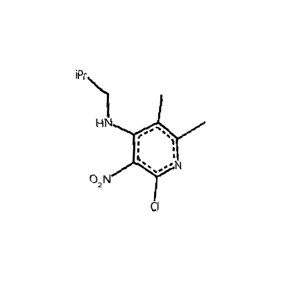 Cc1nc(Cl)c([N+](=O)[O-])c(NCC(C)C)c1C